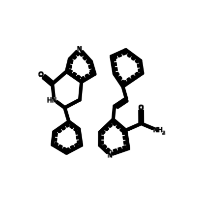 NC(=O)c1cnccc1C=Cc1ccccc1.O=C1NC(c2ccccc2)Cc2ccncc21